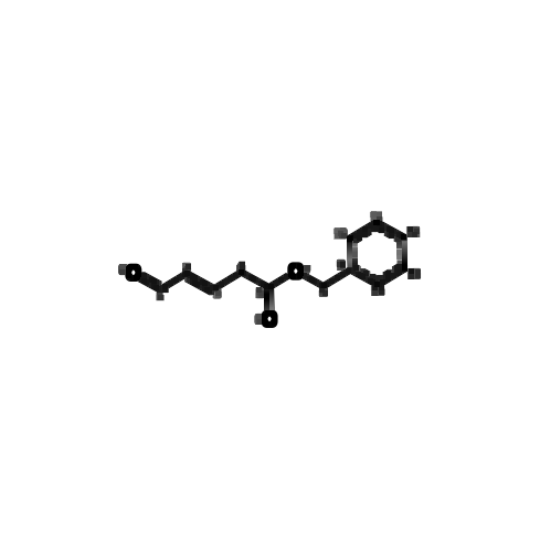 O=[C]/C=C/CC(=O)OCc1ccccc1